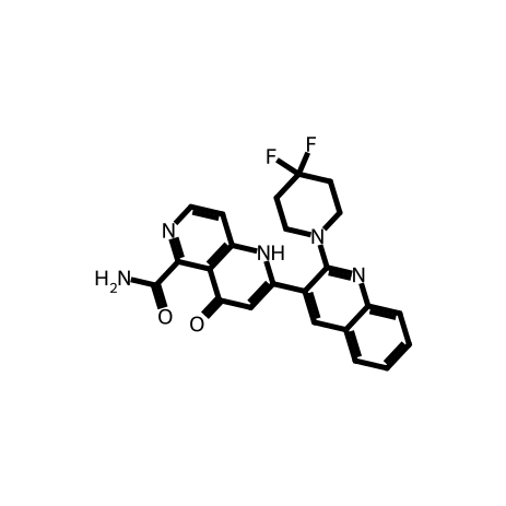 NC(=O)c1nccc2[nH]c(-c3cc4ccccc4nc3N3CCC(F)(F)CC3)cc(=O)c12